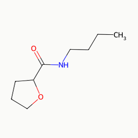 CCCCNC(=O)C1CCCO1